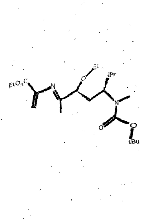 C=C(/N=C(\C)[C@H](C[C@@H](C(C)C)N(C)C(=O)OC(C)(C)C)OCC)C(=O)OCC